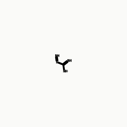 [NH]C(=N)N=N